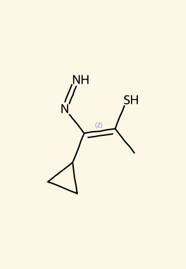 C/C(S)=C(/N=N)C1CC1